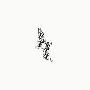 Nc1ncnc2c1ncn2[C@@H]1O[C@@H]2CO[P@@](=O)(S)O[C@@H]3C(CO[P@@](=O)(S)O[C@H]2[C@H]1F)O[C@@H](n1cnc2c(N)ncnc21)[C@@H]3F